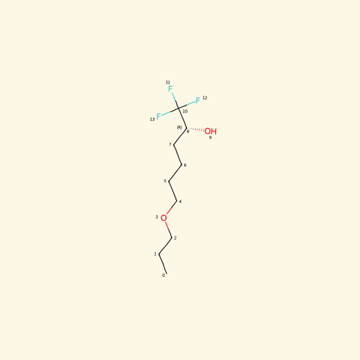 CCCOCCCC[C@@H](O)C(F)(F)F